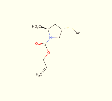 C=CCOC(=O)N1C[C@@H](SC(C)=O)C[C@@H]1C(=O)O